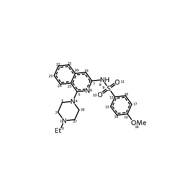 CCN1CCN(c2nc(NS(=O)(=O)c3ccc(OC)cc3)cc3ccccc23)CC1